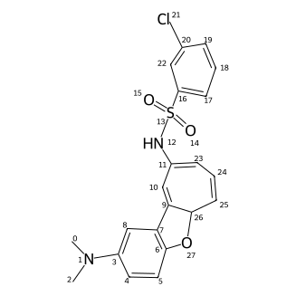 CN(C)c1ccc2c(c1)C1=CC(NS(=O)(=O)c3cccc(Cl)c3)=CC=CC1O2